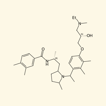 CCN(C)C[C@H](O)COc1ccc(C(C)N2C(C)CCC2C[C@@H](C)NC(=O)c2ccc(C)c(C)c2)c(C)c1C